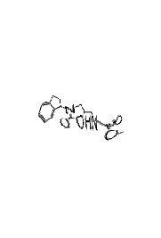 COC(=O)NCC1CN(C2CCc3ccccc32)C(=O)O1